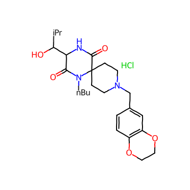 CCCCN1C(=O)C(C(O)C(C)C)NC(=O)C12CCN(Cc1ccc3c(c1)OCCO3)CC2.Cl